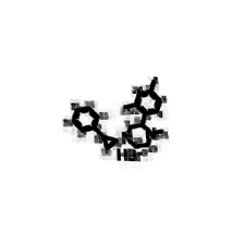 Br.Cc1ccc(C2CN([C@@H]3C[C@H]3c3ccccc3)CCN2C)c(C)c1